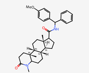 COc1ccc(C(NC(=O)C2CC[C@H]3[C@@H]4CCC5N(C)C(=O)CC[C@]5(C)[C@@H]4CC[C@]23C)c2ccccc2)cc1